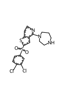 O=S(=O)(c1ccc(Cl)c(Cl)c1)c1cc2c(N3CCCNCC3)nccc2s1